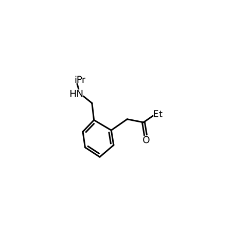 CCC(=O)Cc1ccccc1CNC(C)C